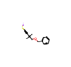 CC(C)(C#CSI)COCc1ccccc1